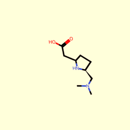 CN(C)C[C@@H]1CCC(CC(=O)O)N1